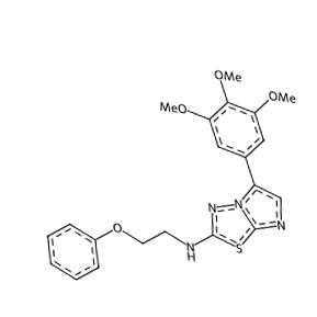 COc1cc(-c2cnc3sc(NCCOc4ccccc4)nn23)cc(OC)c1OC